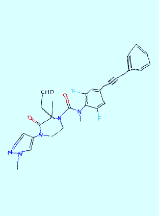 CN(C(=O)N1CCN(c2cnn(C)c2)C(=O)C1(C)CC=O)c1c(F)cc(C#Cc2ccccc2)cc1F